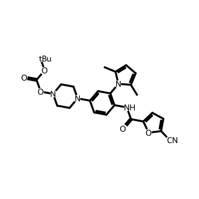 Cc1ccc(C)n1-c1cc(N2CCN(OC(=O)OC(C)(C)C)CC2)ccc1NC(=O)c1ccc(C#N)o1